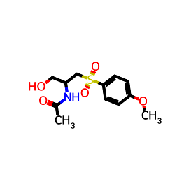 COc1ccc(S(=O)(=O)CC(CO)NC(C)=O)cc1